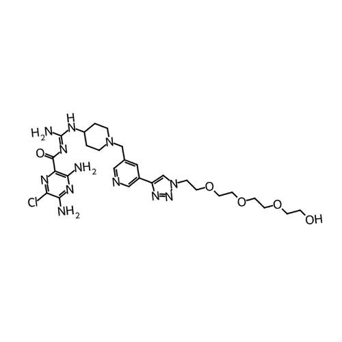 N/C(=N\C(=O)c1nc(Cl)c(N)nc1N)NC1CCN(Cc2cncc(-c3cn(CCOCCOCCOCCO)nn3)c2)CC1